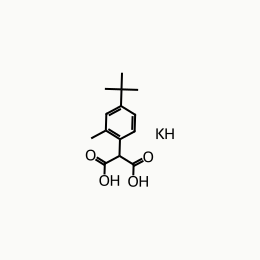 Cc1cc(C(C)(C)C)ccc1C(C(=O)O)C(=O)O.[KH]